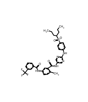 CCCC(CCC)S(=O)(=O)c1ccc(Nc2ncc(NC(=O)c3cc(NC(=O)c4cccc(C(F)(F)F)c4)ccc3C)cn2)cc1